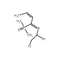 C/C=C\C(=NC(CC)CCl)P(C)(C)=O